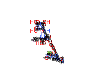 CCOc1ccc(C(=O)N2CCN(c3ccc(-c4cccnc4OCC)nc3CNCCCOCCOCCOCCOCCNC(=O)[C@@H](CCCCNC(=O)CN3CCN(CC(=O)O)CCN(CC(=O)O)CCN(CC(=O)O)CC3)NC(=O)[C@@H](CCC(=O)O)NC(=O)CCCc3ccc(I)cc3)[C@H](CC)C2)c(C(F)(F)F)n1